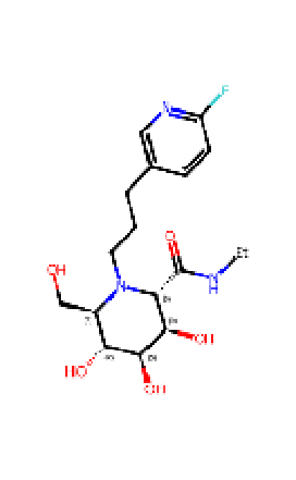 CCNC(=O)[C@@H]1[C@@H](O)[C@@H](O)[C@H](O)[C@@H](CO)N1CCCc1ccc(F)nc1